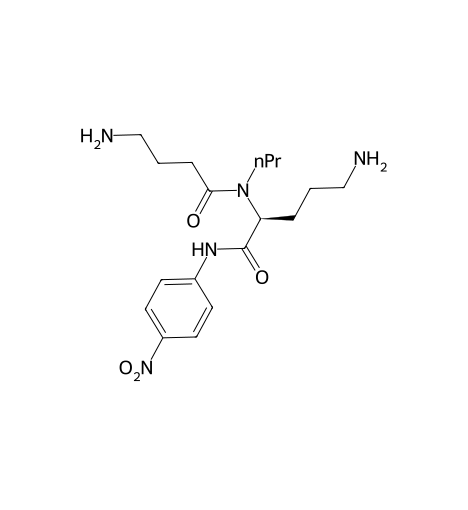 CCCN(C(=O)CCCN)[C@@H](CCCN)C(=O)Nc1ccc([N+](=O)[O-])cc1